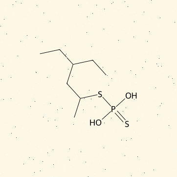 CCC(CC)CC(C)SP(O)(O)=S